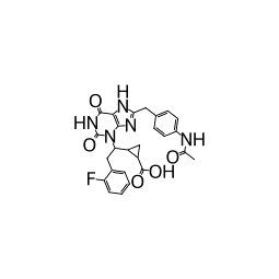 CC(=O)Nc1ccc(Cc2nc3c([nH]2)c(=O)[nH]c(=O)n3C(Cc2ccccc2F)C2CC2C(=O)O)cc1